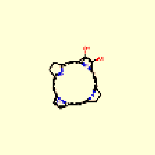 Oc1c(O)c2cc3nc(cc4ccc(cc5nc(cc1[nH]2)CC5)[nH]4)CC3